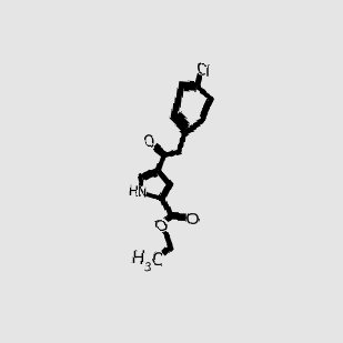 CCOC(=O)C1CC(C(=O)Cc2ccc(Cl)cc2)=CN1